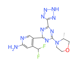 C[C@@H]1COCCN1c1nc(-c2nn[nH]n2)nc(-c2cnc(N)cc2C(F)F)n1